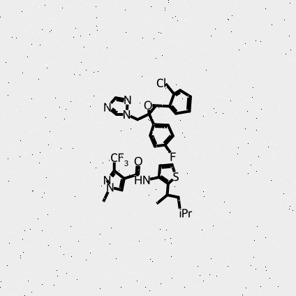 CC(C)CC(C)c1sccc1NC(=O)c1cn(C)nc1C(F)(F)F.Fc1ccc(C2(Cn3cncn3)OC2c2ccccc2Cl)cc1